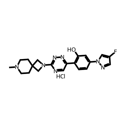 CN1CCC2(CC1)CN(c1ncc(-c3ccc(-n4cc(F)cn4)cc3O)nn1)C2.Cl